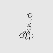 C[N+]1(CCCc2cccnc2)CCC(OC(=O)C(O)(c2ccccc2)C2CCCCC2)CC1